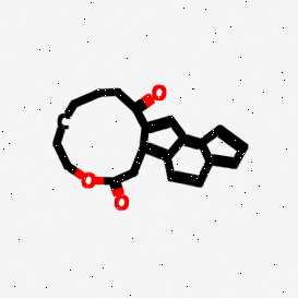 O=C1CC2=c3ccc4c(c3C=C2C(=O)CCCCCCO1)C=CC=4